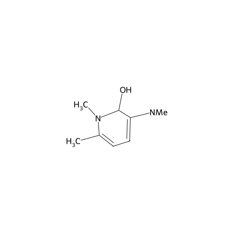 CNC1=CC=C(C)N(C)C1O